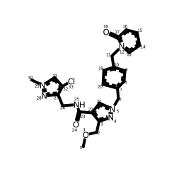 COCc1nn(Cc2ccc(Cn3ccccc3=O)cc2)cc1C(=O)NCc1nn(C)cc1Cl